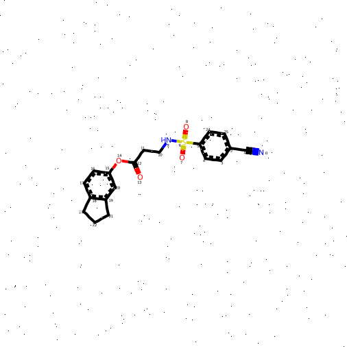 N#Cc1ccc(S(=O)(=O)NCCC(=O)Oc2ccc3c(c2)CCC3)cc1